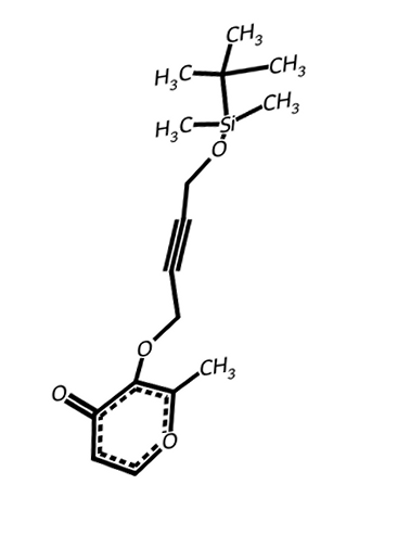 Cc1occc(=O)c1OCC#CCO[Si](C)(C)C(C)(C)C